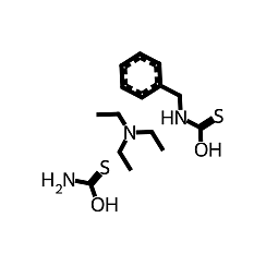 CCN(CC)CC.NC(O)=S.OC(=S)NCc1ccccc1